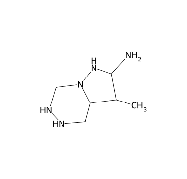 CC1C(N)NN2CNNCC12